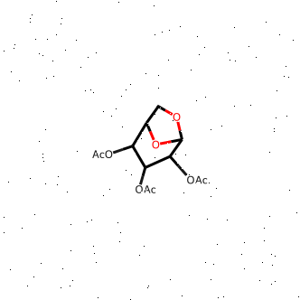 CC(=O)OC1C2COC(O2)C(OC(C)=O)C1OC(C)=O